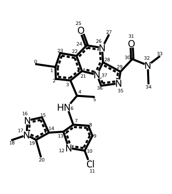 Cc1cc(C(C)Nc2ccc(Cl)nc2-c2cnn(C)c2C)c2c(c1)c(=O)n(C)c1c(C(=O)N(C)C)ncn21